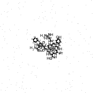 CC[C@H](C)[C@H](N)C(=O)N[C@@H](Cc1ccccc1)C(=O)NCC(=O)NCC(=O)N[C@H](C(=O)N[C@H](C(=O)N[C@@H](Cc1ccc(O)cc1)C(=O)N[C@@H](CCCNC(=N)N)C(=O)N[C@@H](CO)C(=O)O)C(C)C)[C@@H](C)O